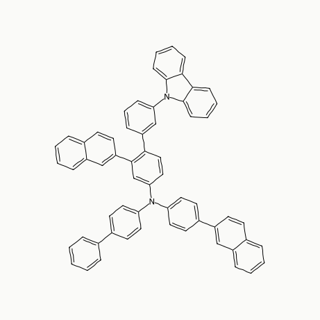 c1ccc(-c2ccc(N(c3ccc(-c4ccc5ccccc5c4)cc3)c3ccc(-c4cccc(-n5c6ccccc6c6ccccc65)c4)c(-c4ccc5ccccc5c4)c3)cc2)cc1